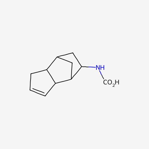 O=C(O)NC1CC2CC1C1C=CCC21